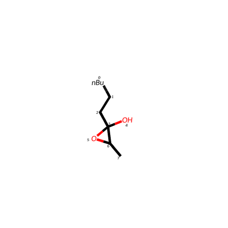 CCCCCCC1(O)OC1C